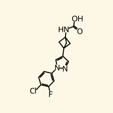 O=C(O)NC12CC(c3cnn(-c4ccc(Cl)c(F)c4)c3)(C1)C2